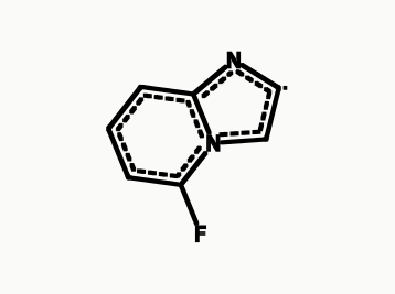 Fc1cccc2n[c]cn12